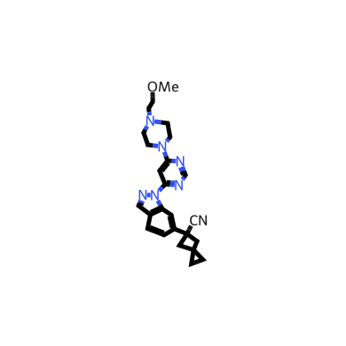 COCCN1CCN(c2cc(-n3ncc4ccc(C5(C#N)CC6(CC6)C5)cc43)ncn2)CC1